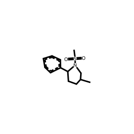 CC1CCC(c2ccccc2)N(S(C)(=O)=O)C1